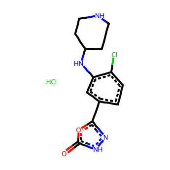 Cl.O=c1[nH]nc(-c2ccc(Cl)c(NC3CCNCC3)c2)o1